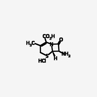 CC1=C(C(=O)O)N2C(=O)C(N)[C@@H]2SC1.Cl